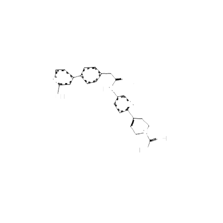 C=C(Cc1ccc(-c2ccnc(C)c2)cc1)Nc1ccc(C2=CCN(C(=C)C)CC2)nc1